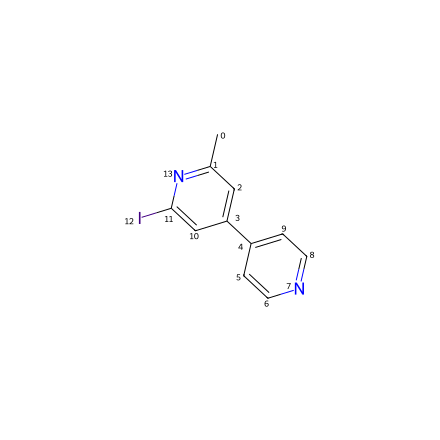 Cc1cc(-c2ccncc2)cc(I)n1